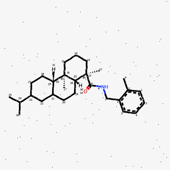 Cc1ccccc1CNC(=O)[C@]1(C)CCC[C@@]2(C)[C@H]1CCC1CC(C(C)C)CC[C@@H]12